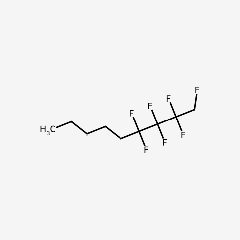 CC[CH]CCC(F)(F)C(F)(F)C(F)(F)CF